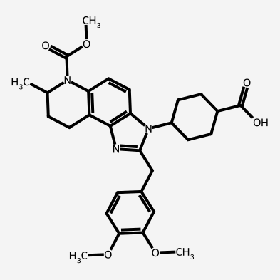 COC(=O)N1c2ccc3c(nc(Cc4ccc(OC)c(OC)c4)n3C3CCC(C(=O)O)CC3)c2CCC1C